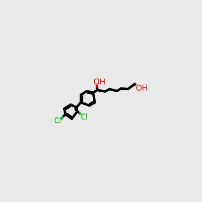 OCCCCCCC(O)c1ccc(-c2ccc(Cl)cc2Cl)cc1